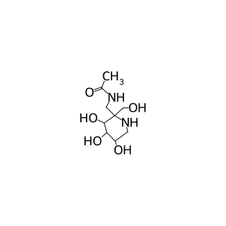 CC(=O)NCC1(CO)NCC(O)C(O)C1O